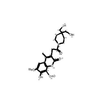 COc1cc2c(C)c(CC(=O)N3CCC(CO)(CO)CC3)c(=O)oc2c(C=O)c1O